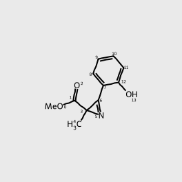 COC(=O)C1(C)N=C1c1ccccc1O